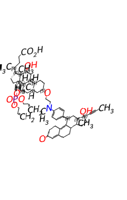 C=CCOP(=O)(OCC=C)O[C@@H]1C[C@@H]2C[C@@H](OCCN(C)c3ccc([C@H]4C[C@@]5(C)C(CC[C@@]5(O)C#CC)C5CCC6=CC(=O)CCC6=C54)cc3)CC[C@]2(C)[C@H]2C[C@H](O)[C@]3(C)[C@@H]([C@H](C)CCC(=O)O)CC[C@H]3[C@H]12